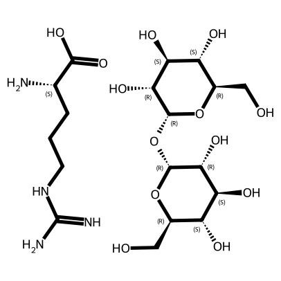 N=C(N)NCCC[C@H](N)C(=O)O.OC[C@H]1O[C@H](O[C@H]2O[C@H](CO)[C@@H](O)[C@H](O)[C@H]2O)[C@H](O)[C@@H](O)[C@@H]1O